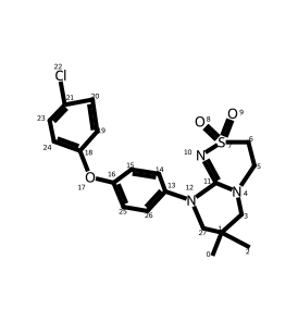 CC1(C)CN2CCS(=O)(=O)N=C2N(c2ccc(Oc3ccc(Cl)cc3)cc2)C1